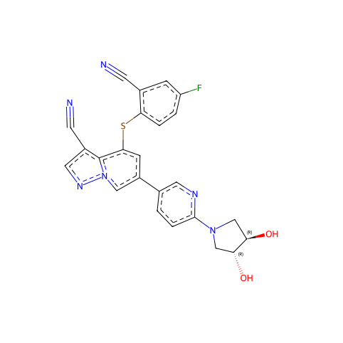 N#Cc1cc(F)ccc1Sc1cc(-c2ccc(N3C[C@@H](O)[C@H](O)C3)nc2)cn2ncc(C#N)c12